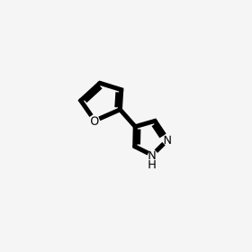 c1coc(-c2cn[nH]c2)c1